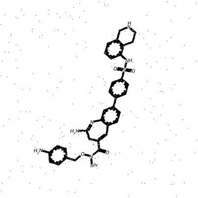 CCCN(OCc1ccc(N)cc1)C(=O)C1=Cc2ccc(-c3ccc(S(=O)(=O)Nc4cccc5c4CCNC5)cc3)cc2N=C(N)C1